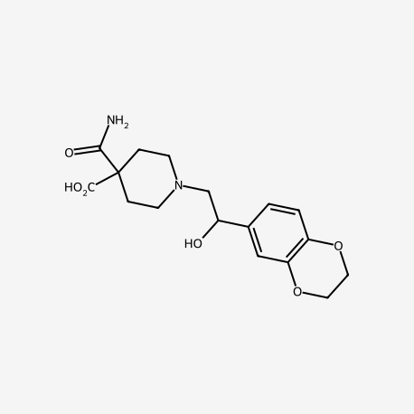 NC(=O)C1(C(=O)O)CCN(CC(O)c2ccc3c(c2)OCCO3)CC1